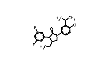 CCC1CN(c2ccc(Cl)c(C(C)C)c2)C(=O)C1c1cc(F)cc(F)c1